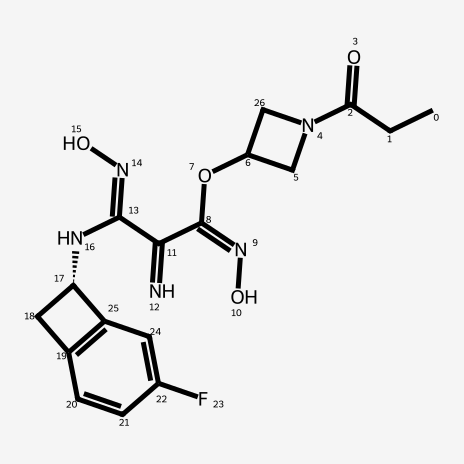 CCC(=O)N1CC(O/C(=N/O)C(=N)/C(=N/O)N[C@H]2Cc3ccc(F)cc32)C1